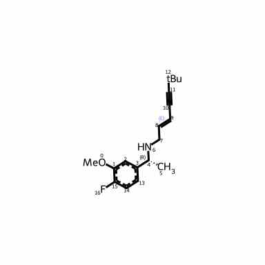 COc1cc([C@@H](C)NC/C=C/C#CC(C)(C)C)ccc1F